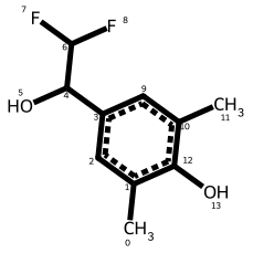 Cc1cc(C(O)C(F)F)cc(C)c1O